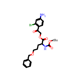 CC(C)(C)OC(=O)NC(CCCOCc1ccccc1)C(=O)OCC(=O)c1ccc(N)cc1Br